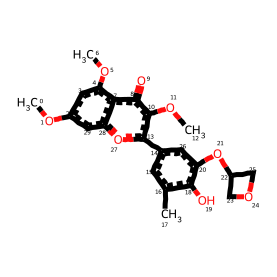 COc1cc(OC)c2c(=O)c(OC)c(-c3cc(C)c(O)c(OC4COC4)c3)oc2c1